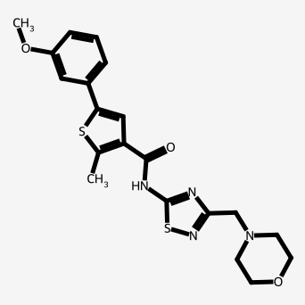 COc1cccc(-c2cc(C(=O)Nc3nc(CN4CCOCC4)ns3)c(C)s2)c1